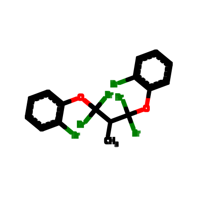 CC(C(Br)(Br)Oc1ccccc1Br)C(Br)(Br)Oc1ccccc1Br